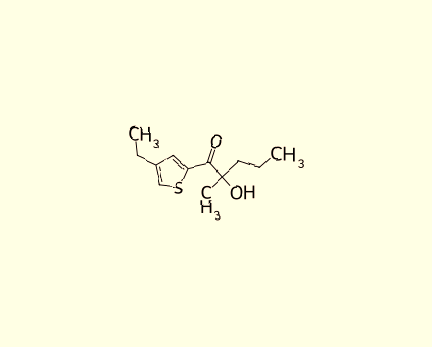 CCCC(C)(O)C(=O)c1cc(CC)cs1